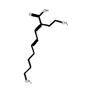 CCCCC/C=C/C=C(\CCC)C(=O)O